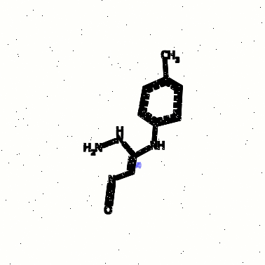 Cc1ccc(N/C(=C/N=O)NN)cc1